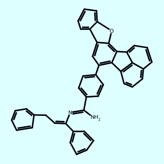 N/C(=N\C(=C/Cc1ccccc1)c1ccccc1)c1ccc(-c2cc3c(oc4ccccc43)c3c2-c2cccc4cccc-3c24)cc1